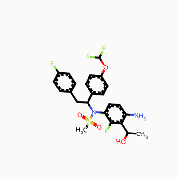 CC(O)c1c(N)ccc(N(C(Cc2ccc(F)cc2)c2ccc(OC(F)F)cc2)S(C)(=O)=O)c1F